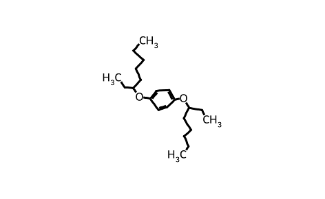 CCCCCC(CC)Oc1ccc(OC(CC)CCCCC)cc1